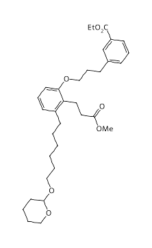 CCOC(=O)c1cccc(CCCOc2cccc(CCCCCCOC3CCCCO3)c2CCC(=O)OC)c1